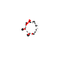 CCCCN1CC(=O)NC2(CCCC2)C(=O)N(C)[C@@H](C2CCCC2)C(=O)N(C)[C@H](C(=O)N(C)C)CC(=O)N(C)[C@@H](CC(C)C)C(=O)N[C@@H]([C@@H](C)CC)C(=O)N(C)[C@@H](C)C(=O)N2CC[C@H]2C(=O)N(CC)[C@@H](Cc2ccc(C)cc2)C(=O)N(C)CC(=O)N[C@@H](CCc2cc(F)c(C(F)(F)F)c(F)c2)C1=O